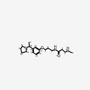 CNCCC(=O)NCCCOc1cccc(C(C)N2CCCC2)c1